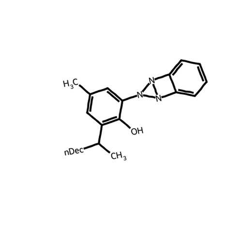 CCCCCCCCCCC(C)c1cc(C)cc(-n2n3c4ccccc4n23)c1O